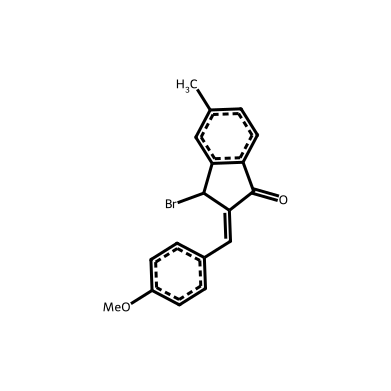 COc1ccc(/C=C2/C(=O)c3ccc(C)cc3C2Br)cc1